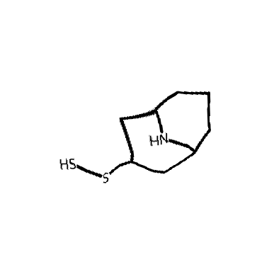 SSC1CC2CCCC(C1)N2